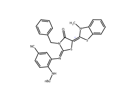 CCCCNc1ccc(C#N)cc1N=C1S/C(=C2\Sc3ccccc3N2C)C(=O)N1Cc1ccccc1